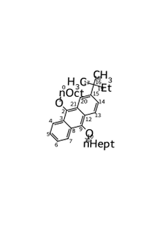 CCCCCCCCOc1c2ccccc2c(OCCCCCCC)c2ccc(C(C)(C)CC)cc12